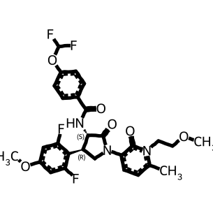 COCCn1c(C)ccc(N2C[C@@H](c3c(F)cc(OC)cc3F)[C@H](NC(=O)c3ccc(OC(F)F)cc3)C2=O)c1=O